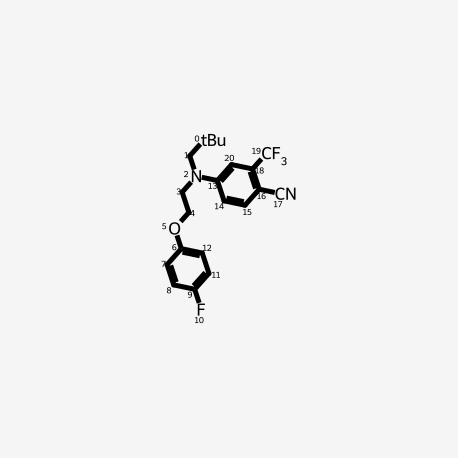 CC(C)(C)CN(CCOc1ccc(F)cc1)c1ccc(C#N)c(C(F)(F)F)c1